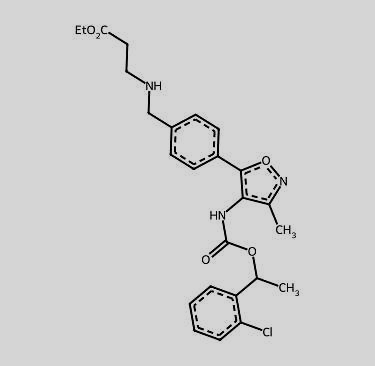 CCOC(=O)CCNCc1ccc(-c2onc(C)c2NC(=O)OC(C)c2ccccc2Cl)cc1